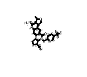 CC1OCc2c1c(N)nc1ccc(C(=O)N(Cc3ccc(C(F)(F)F)cn3)C3CCCC3C#N)cc21